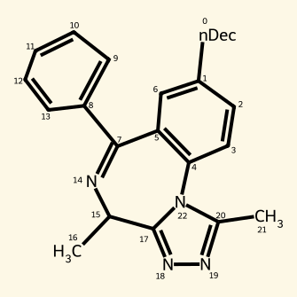 CCCCCCCCCCc1ccc2c(c1)C(c1ccccc1)=NC(C)c1nnc(C)n1-2